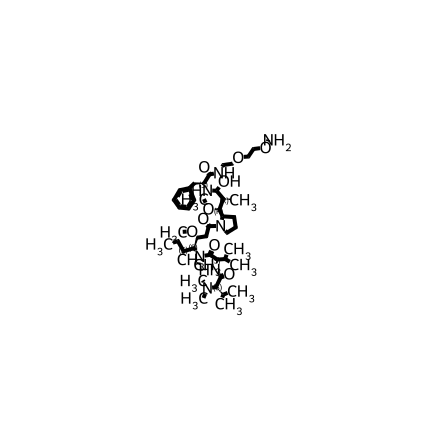 CC[C@H](C)[C@@H](C(CC(=O)N1CCCC1[C@H](OC)[C@@H](C)C(O)N[C@@H](Cc1ccccc1)C(=O)NCCOCCON)OC)N(C)C(=O)[C@@H](NC(=O)[C@H](C(C)C)N(C)C)C(C)C